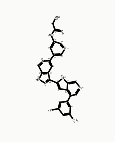 Cc1cc(F)cc(-c2cncc3[nH]c(-c4n[nH]c5cnc(-c6cncc(NC(=O)CC(C)(C)C)c6)cc45)cc23)c1